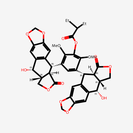 CCC(CC)C(=O)Oc1c(OC)c([C@H]2c3cc4c(cc3[C@@H](O)[C@H]3COC(=O)[C@H]23)OCO4)cc([C@H]2c3cc4c(cc3[C@@H](O)[C@H]3COC(=O)[C@H]23)OCO4)c1OC